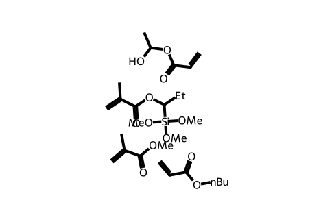 C=C(C)C(=O)OC.C=C(C)C(=O)OC(CC)[Si](OC)(OC)OC.C=CC(=O)OC(C)O.C=CC(=O)OCCCC